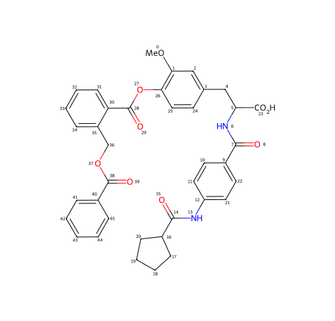 COc1cc(CC(NC(=O)c2ccc(NC(=O)C3CCCC3)cc2)C(=O)O)ccc1OC(=O)c1ccccc1COC(=O)c1ccccc1